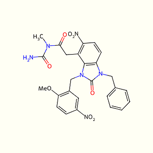 COc1ccc([N+](=O)[O-])cc1Cn1c(=O)n(Cc2ccccc2)c2ccc([N+](=O)[O-])c(CC(=O)N(C)C(N)=O)c21